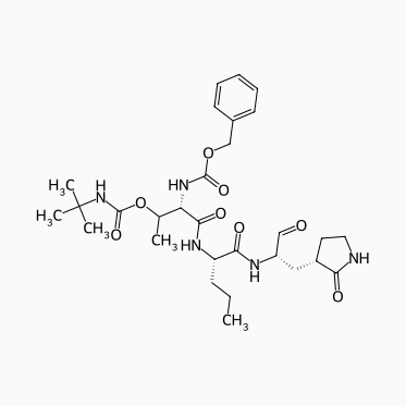 CCC[C@H](NC(=O)[C@@H](NC(=O)OCc1ccccc1)C(C)OC(=O)NC(C)(C)C)C(=O)N[C@H](C=O)C[C@@H]1CCNC1=O